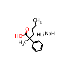 CCCCC(C)(C(=O)O)c1ccccc1.[LiH].[NaH]